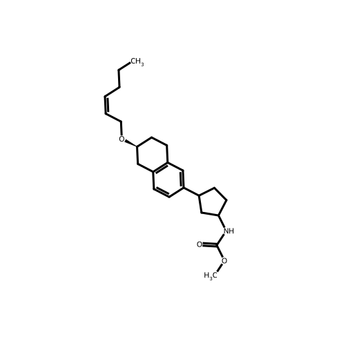 CCC/C=C\CO[C@H]1CCc2cc(C3CCC(NC(=O)OC)C3)ccc2C1